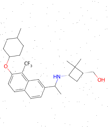 CC1CCC(Oc2ccc3ccc(C(C)N[C@H]4C[C@@H](CO)C4(C)C)cc3c2C(F)(F)F)CC1